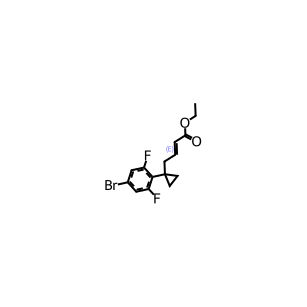 CCOC(=O)/C=C/CC1(c2c(F)cc(Br)cc2F)CC1